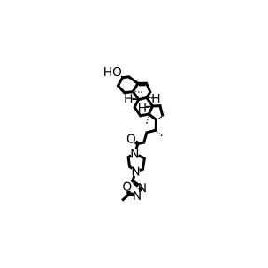 Cc1nnc(N2CCN(C(=O)CC[C@@H](C)[C@H]3CC[C@H]4[C@@H]5CC=C6C[C@@H](O)CC[C@]6(C)[C@H]5CC[C@]34C)CC2)o1